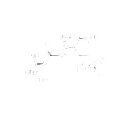 NC(=NC(=O)NCC(CO)OCP(=O)(O)O)NC=O.[NaH]